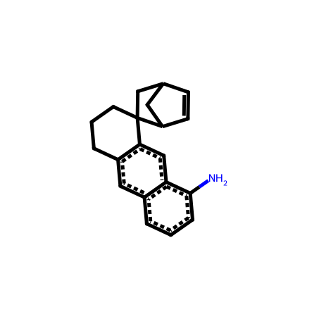 Nc1cccc2cc3c(cc12)C1(CCC3)CC2C=CC1C2